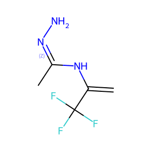 C=C(N/C(C)=N\N)C(F)(F)F